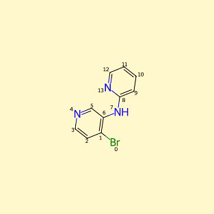 Brc1ccncc1Nc1ccccn1